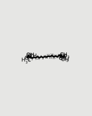 CC(C)(CCCCCCCCCCCCCCCCC(C)(C)C(=O)O)C(=O)O